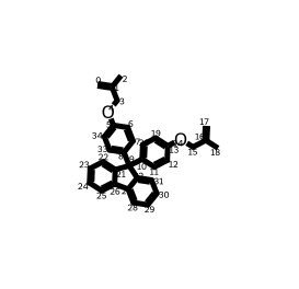 C=C(C)COc1ccc(C2(c3ccc(OCC(=C)C)cc3)c3ccccc3-c3ccccc32)cc1